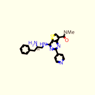 CNC(=O)c1csc2c(NC[C@H](N)Cc3ccccc3)nc(-c3ccncc3)nc12